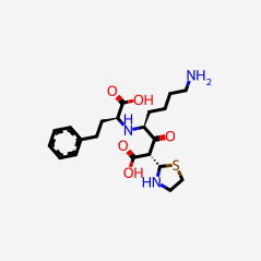 NCCCC[C@H](N[C@@H](CCc1ccccc1)C(=O)O)C(=O)[C@@H](C(=O)O)C1NCCS1